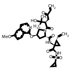 C=CC(=O)C[C@@H](C(=O)N1C[C@H](Oc2nccc3cc(OC)ccc23)C[C@H]1C(=O)N[C@]1(C(=O)NS(=O)(=O)C2CC2)C[C@H]1C=C)C(C)(C)O